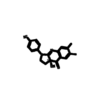 Cc1cc2c(cc1C)C(=O)[C@]1(O)CCN(c3ccc(C#N)cc3)C1=N2